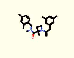 C=C(Cc1cc(C)cc(C)c1)N1CCC1(C)C(=O)N(C)Cc1ccc(C)cc1C